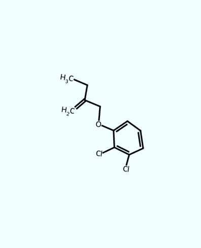 C=C(CC)COc1cccc(Cl)c1Cl